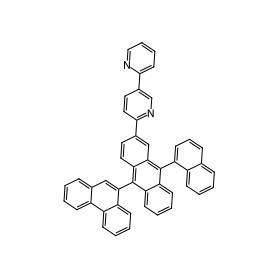 c1ccc(-c2ccc(-c3ccc4c(-c5cc6ccccc6c6ccccc56)c5ccccc5c(-c5cccc6ccccc56)c4c3)nc2)nc1